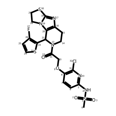 CS(=O)(=O)Nc1ccc(OCC(=O)N2CCc3nc4n(c3C2c2sccc2F)CCS4)c(Cl)n1